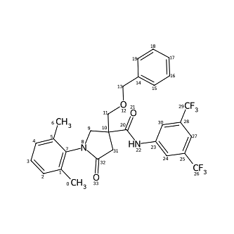 Cc1cccc(C)c1N1CC(COCc2ccccc2)(C(=O)Nc2cc(C(F)(F)F)cc(C(F)(F)F)c2)CC1=O